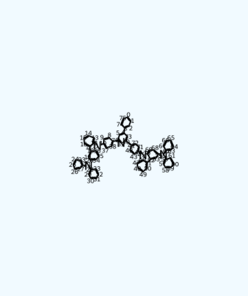 c1ccc(-c2cc(-c3ccc(-n4c5ccccc5c5cc(N(c6ccccc6)c6ccccc6)ccc54)cc3)nc(-c3ccc(-n4c5ccccc5c5cc(N(c6ccccc6)c6ccccc6)ccc54)cc3)c2)cc1